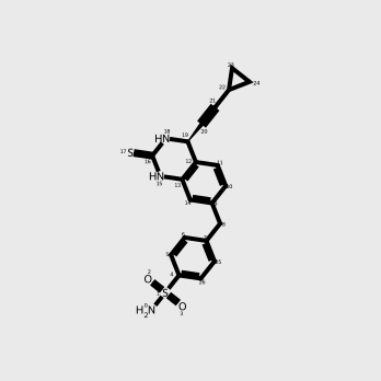 NS(=O)(=O)c1ccc(Cc2ccc3c(c2)NC(=S)N[C@H]3C#CC2CC2)cc1